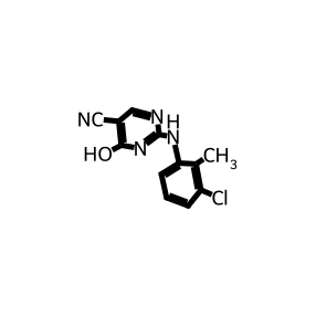 Cc1c(Cl)cccc1Nc1ncc(C#N)c(O)n1